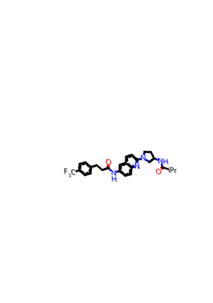 CC(C)C(=O)NC1CCN(c2ccc3cc(NC(=O)CCc4ccc(C(F)(F)F)cc4)ccc3n2)C1